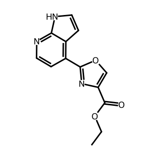 CCOC(=O)c1coc(-c2ccnc3[nH]ccc23)n1